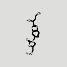 COCC1CN(c2ccc3nc(C(O)CCC#N)sc3c2)C(=O)O1